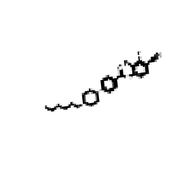 CCCCCC[C@H]1CC[C@H](c2ccc(C(=O)Oc3ccc(C#N)c(F)c3F)cc2)CC1